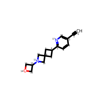 C#Cc1ccc(C2CC3(C2)CN(C2COC2)C3)nc1